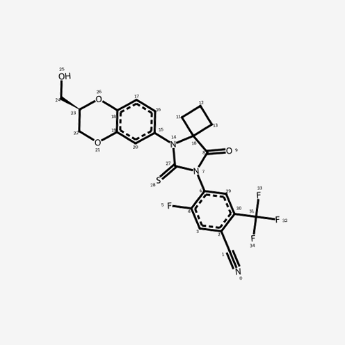 N#Cc1cc(F)c(N2C(=O)C3(CCC3)N(c3ccc4c(c3)OC[C@@H](CO)O4)C2=S)cc1C(F)(F)F